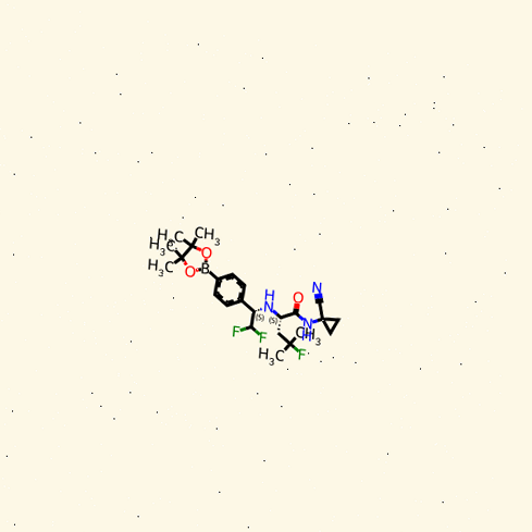 CC(C)(F)C[C@H](N[C@@H](c1ccc(B2OC(C)(C)C(C)(C)O2)cc1)C(F)F)C(=O)NC1(C#N)CC1